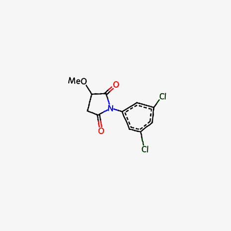 COC1CC(=O)N(c2cc(Cl)cc(Cl)c2)C1=O